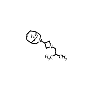 CC(C)CN1CC(N2CC3CCCC(C2)NC3)C1